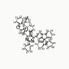 C1=CC2c3ccccc3C3(c4ccccc4Oc4ccc(C5N=C(c6ccccc6)N=C(c6ccc7c(c6)C(C6=CCCC=C6)(c6ccccc6)c6ccccc6-7)N5)cc43)C2C=C1